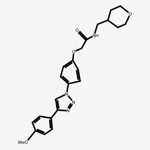 COc1ccc(-c2cn(-c3ccc(OCC(=O)NCC4CCOCC4)cc3)nn2)cc1